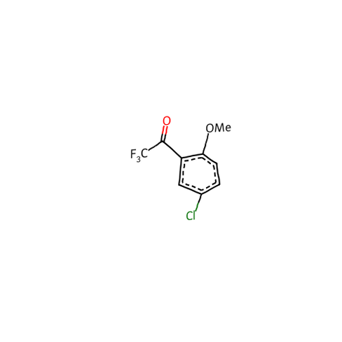 COc1ccc(Cl)cc1C(=O)C(F)(F)F